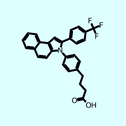 O=C(O)CCCc1ccc(-n2c(-c3ccc(C(F)(F)F)cc3)cc3c4ccccc4ccc32)cc1